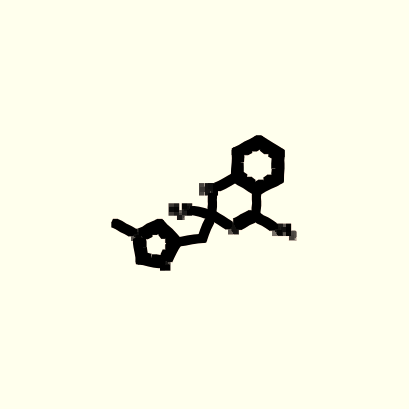 Cn1cnc(CC2(N)N=C(N)c3ccccc3N2)c1